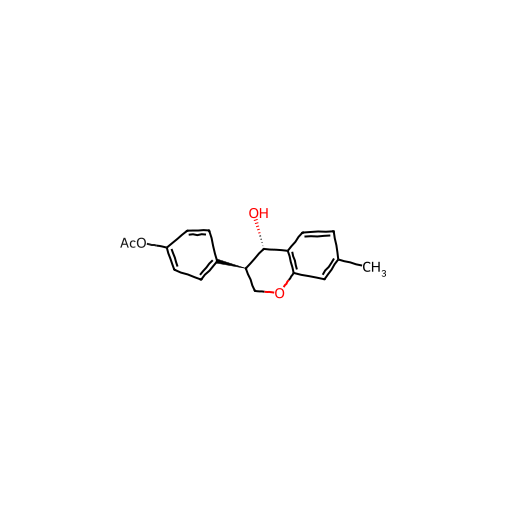 CC(=O)Oc1ccc([C@@H]2COc3cc(C)ccc3[C@H]2O)cc1